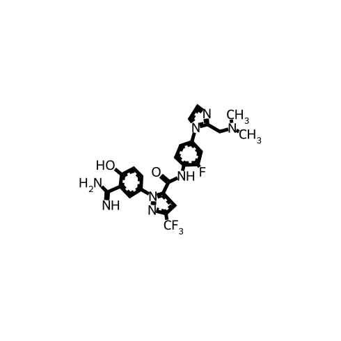 CN(C)Cc1nccn1-c1ccc(NC(=O)c2cc(C(F)(F)F)nn2-c2ccc(O)c(C(=N)N)c2)c(F)c1